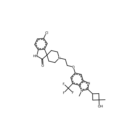 Cn1c(C2CC(C)(O)C2)nc2cc(OCCN3CCC4(CC3)C(=O)Nc3ccc(Cl)cc34)cc(C(F)(F)F)c21